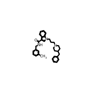 Cc1cccc(CNC(=O)c2cn(CCCN3CCC(Cc4ccccc4)CC3)c3ccccc23)c1